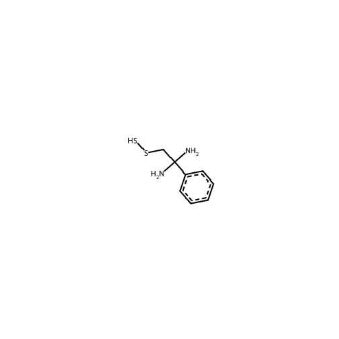 NC(N)(CSS)c1ccccc1